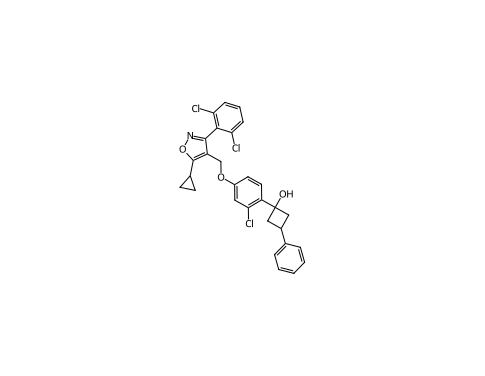 OC1(c2ccc(OCc3c(-c4c(Cl)cccc4Cl)noc3C3CC3)cc2Cl)CC(c2ccccc2)C1